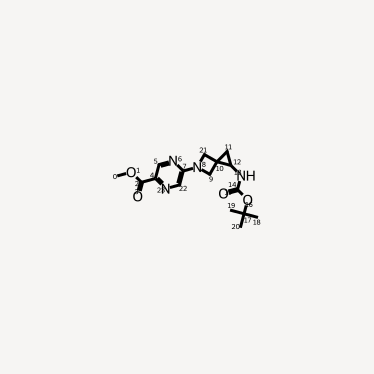 COC(=O)c1cnc(N2CC3(CC3NC(=O)OC(C)(C)C)C2)cn1